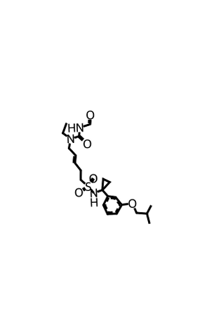 CCN(C/C=C/CCS(=O)(=O)NC1(c2cccc(OCC(C)C)c2)CC1)C(=O)NC=O